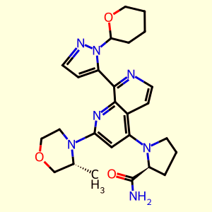 C[C@@H]1COCCN1c1cc(N2CCC[C@H]2C(N)=O)c2ccnc(-c3ccnn3C3CCCCO3)c2n1